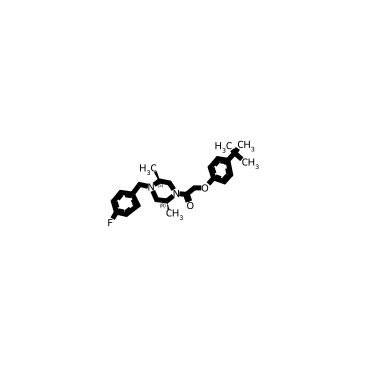 C[C@@H]1CN(Cc2ccc(F)cc2)[C@@H](C)CN1C(=O)COc1ccc(C(C)(C)C)cc1